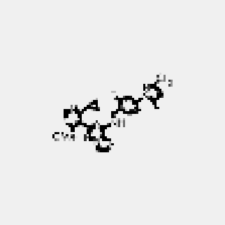 COc1ncnc(C2CC2)c1-c1nc(NCc2ccc(-n3nc(C(F)(F)F)cc3C)cc2F)c2nccn2n1